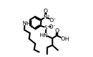 CCC(C)C(N[S+]([O-])c1ccccc1[N+](=O)[O-])C(=O)O.CCCCCCN